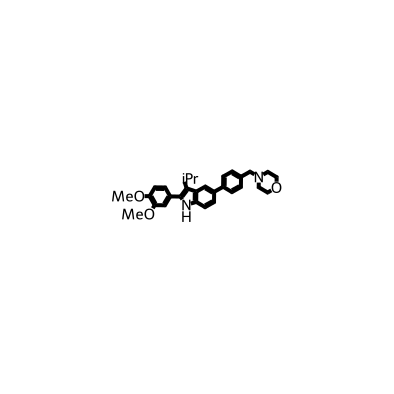 COc1ccc(-c2[nH]c3ccc(-c4ccc(CN5CCOCC5)cc4)cc3c2C(C)C)cc1OC